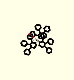 Cl[Si](c1ccc(-c2ccccc2)c(-c2ccccc2)c1-c1ccccc1)(c1ccc(-c2ccccc2)c(-c2ccccc2)c1-c1ccccc1)c1ccc(-c2ccccc2)c(-c2ccccc2)c1-c1ccccc1